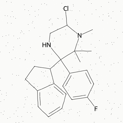 CN1C(Cl)CNC(c2ccc(F)cc2)(C2CCc3ccccc32)C1(C)C